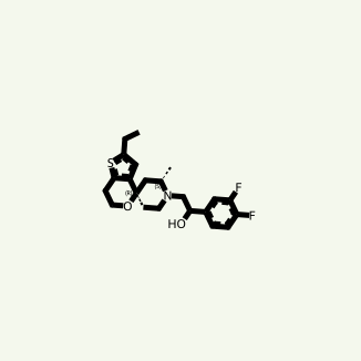 CCc1cc2c(s1)CCO[C@@]21CCN(CC(O)c2ccc(F)c(F)c2)[C@@H](C)C1